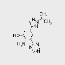 CC(C)n1nnc(-c2cc(O)c(N)c(-c3ncncn3)c2)n1